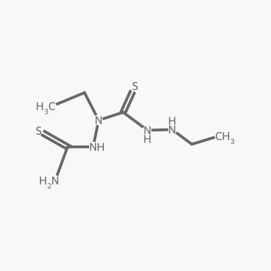 CCNNC(=S)N(CC)NC(N)=S